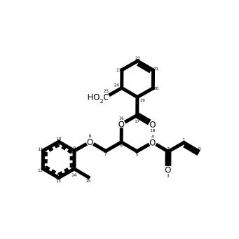 C=CC(=O)OCC(COc1ccccc1C)OC(=O)C1CC=CCC1C(=O)O